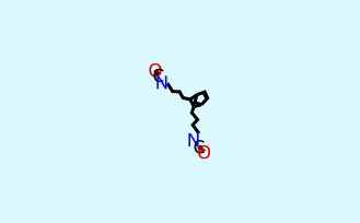 O=C=NCCCCC1C2C=CC(C2)C1CCCCN=C=O